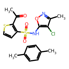 CC(=O)c1sccc1S(=O)(=O)Nc1onc(C)c1Cl.Cc1ccc(C)cc1